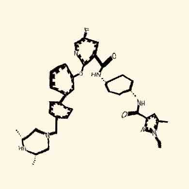 Cc1cc(C(=O)N[C@H]2CC[C@@H](NC(=O)c3cc(F)cnc3Oc3cccc(-c4ccc(CN5C[C@@H](C)N[C@@H](C)C5)cc4)c3)CC2)nn1C